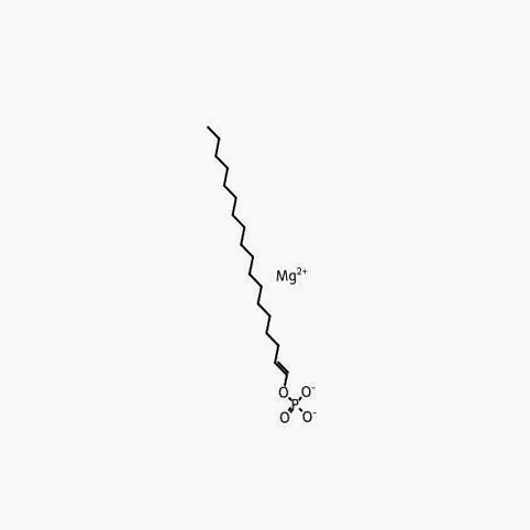 CCCCCCCCCCCCCCCCC=COP(=O)([O-])[O-].[Mg+2]